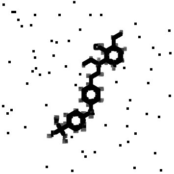 CCc1ncnc(N(CC)CCc2ccc(Oc3ccc(C(F)(F)F)cn3)cc2)c1Cl